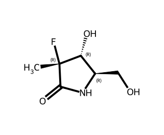 C[C@]1(F)C(=O)N[C@H](CO)[C@H]1O